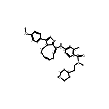 COc1ccc(C2=CN=C3/C(Nc4ccc(C(=O)N(C)CCC5CCNCC5)c(C)c4)=C/C/C=C\CCC23)cc1